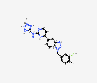 Cc1ccc(Cn2nnc3cc(-c4ccnc(Nc5nnn(C)n5)n4)ccc32)cc1F